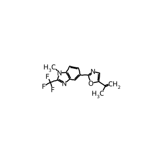 C=C(C)c1cnc(-c2ccc3c(c2)nc(C(F)(F)F)n3C)o1